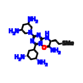 CSCC[C@H](Nc1nc(C2C[C@@H](N)C[C@@H](N)C2)nc(N2C[C@H](N)C[C@H](N)C2)n1)C(N)=O